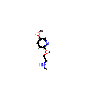 CNCCOc1ccc(OC)cn1